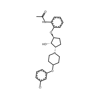 CC(=O)Nc1ccccc1O[C@H]1CC[C@H](N2CCC(Oc3cccc(Cl)c3)CC2)[C@@H]1O